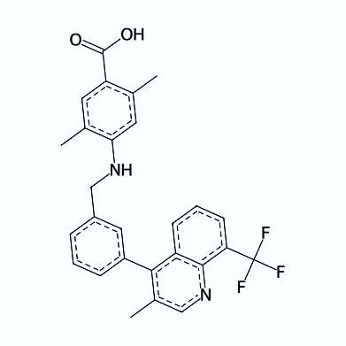 Cc1cc(C(=O)O)c(C)cc1NCc1cccc(-c2c(C)cnc3c(C(F)(F)F)cccc23)c1